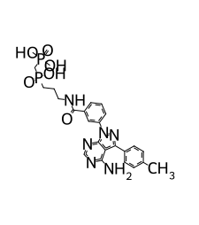 Cc1ccc(-c2nn(-c3cccc(C(=O)NCCCP(=O)(O)CP(=O)(O)O)c3)c3ncnc(N)c23)cc1